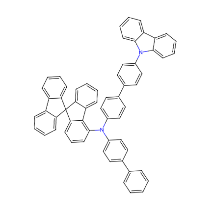 c1ccc(-c2ccc(N(c3ccc(-c4ccc(-n5c6ccccc6c6ccccc65)cc4)cc3)c3cccc4c3-c3ccccc3C43c4ccccc4-c4ccccc43)cc2)cc1